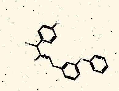 CC(C)C(/C(F)=C/Cc1cccc(Oc2ccccc2)c1)c1ccc(Cl)cc1